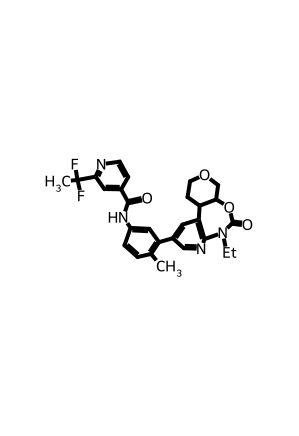 CCN1C(=O)OC2COCCC2c2cc(-c3cc(NC(=O)c4ccnc(C(C)(F)F)c4)ccc3C)cnc21